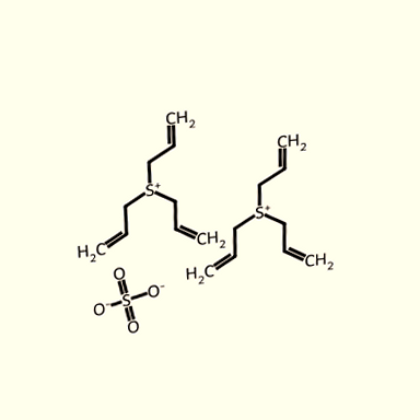 C=CC[S+](CC=C)CC=C.C=CC[S+](CC=C)CC=C.O=S(=O)([O-])[O-]